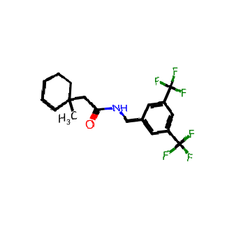 CC1(CC(=O)NCc2cc(C(F)(F)F)cc(C(F)(F)F)c2)CCCCC1